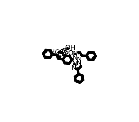 O=S(=O)(O)C1(S(=O)(=O)O)CC(n2ncc(-c3ccccc3)n2)(n2ncc(-c3ccccc3)n2)C=CC1C=Cc1ccccc1